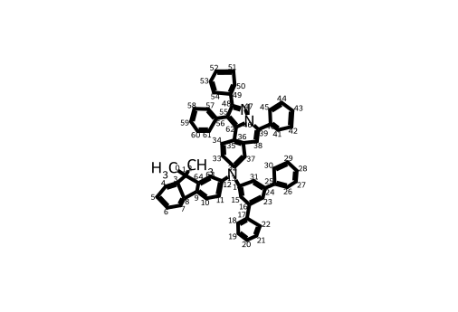 CC1(C)c2ccccc2-c2ccc(N(c3cc(-c4ccccc4)cc(-c4ccccc4)c3)c3ccc4c(c3)cc(-c3ccccc3)n3nc(-c5ccccc5)c(-c5ccccc5)c43)cc21